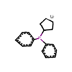 [Li].c1ccc(P(c2ccccc2)C2CCCC2)cc1